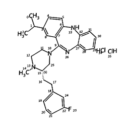 CC(C)c1ccc2c(c1)C(N1CCN(C)[C@@H](CCc3cccc(F)c3)C1)=Nc1ccccc1N2.Cl.Cl